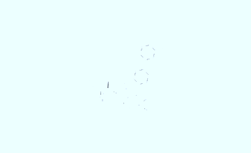 NS(=O)(=O)C(F)[C@@H]1[C@H](Cc2cccc(-c3cc(F)cc(F)c3)c2F)N(C(=O)[C@@H](O)C2CC2)CC12CC2